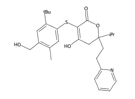 Cc1cc(SC2=C(O)CC(CCc3ccccn3)(C(C)C)OC2=O)c(C(C)(C)C)cc1CO